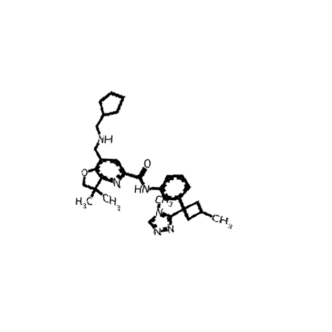 CC1CC(c2cccc(NC(=O)c3cc(CNCC4CCCC4)c4c(n3)C(C)(C)CO4)c2)(c2nncn2C)C1